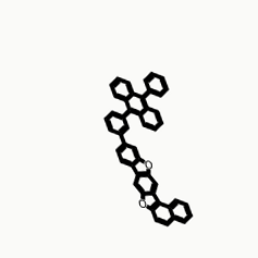 c1ccc(-c2c3ccccc3c(-c3cccc(-c4ccc5c(c4)oc4cc6c(cc45)oc4ccc5ccccc5c46)c3)c3ccccc23)cc1